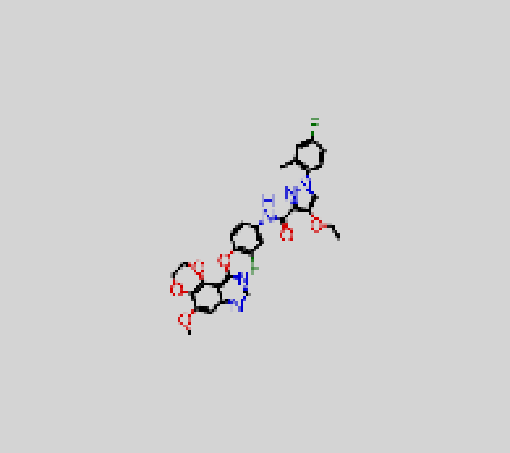 CCOc1cn(-c2ccc(F)cc2C)nc1C(=O)Nc1ccc(Oc2ncnc3cc(OC)c4c(c23)OCCO4)c(F)c1